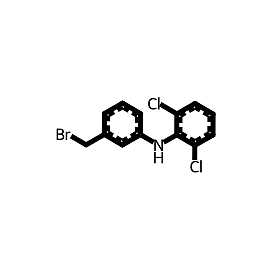 Clc1cccc(Cl)c1Nc1cccc(CBr)c1